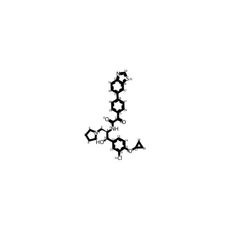 O=C(N[C@H](CN1CCCC1)[C@H](O)c1ccc(OC2CC2)c(Cl)c1)C(=O)c1ccc(-c2ccc3ncsc3c2)cc1